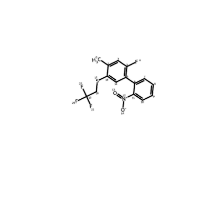 Cc1cc(F)c(-c2ccccc2[N+](=O)[O-])cc1SCC(F)(F)F